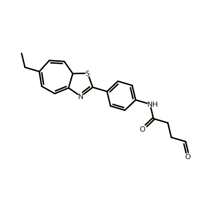 CCC1=CC=C2N=C(c3ccc(NC(=O)CCC=O)cc3)SC2C=C1